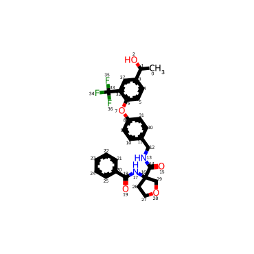 CC(O)c1ccc(Oc2ccc(CNC(=O)C3(NC(=O)c4ccccc4)CCOC3)cc2)c(C(F)(F)F)c1